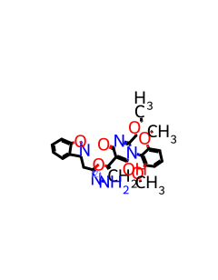 C=C(O/C(Cc1noc2ccccc12)=N\N)c1c(O)n(-c2c(OC)cccc2OC)c(COCC)nc1=O